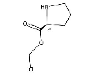 O=C(OCCl)[C@@H]1CCCN1